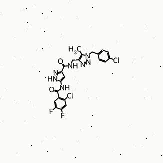 Cc1c(CNC(=O)c2cc(NC(=O)c3cc(F)c(F)cc3Cl)[nH]n2)nnn1Cc1ccc(Cl)cc1